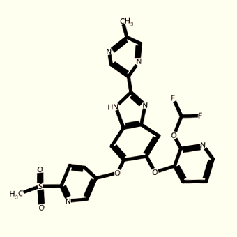 Cc1cnc(-c2nc3cc(Oc4cccnc4OC(F)F)c(Oc4ccc(S(C)(=O)=O)nc4)cc3[nH]2)cn1